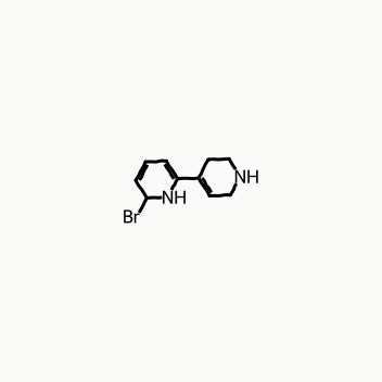 BrC1C=CC=C(C2=CCNCC2)N1